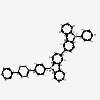 C1=C(c2ccccc2)CCC(c2ccc(-n3c4ccccc4c4cc(-c5ccc6c(c5)c5ccccc5n6-c5ccccc5)ccc43)cc2)=C1